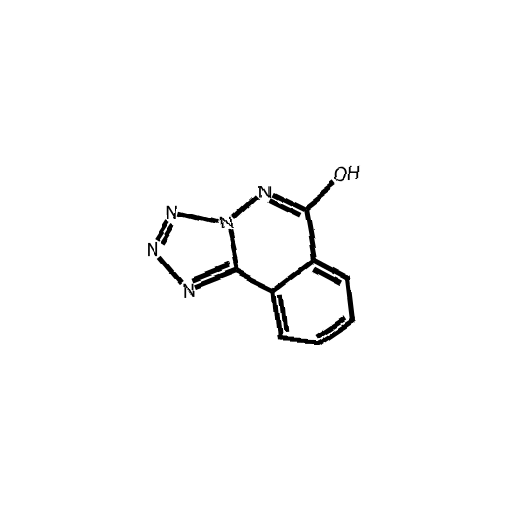 Oc1nn2nnnc2c2ccccc12